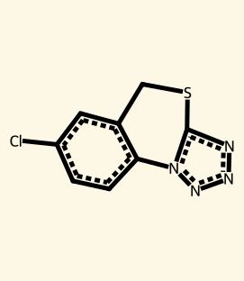 Clc1ccc2c(c1)CSc1nnnn1-2